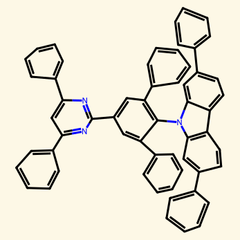 c1ccc(-c2ccc3c4ccc(-c5ccccc5)cc4n(-c4c(-c5ccccc5)cc(-c5nc(-c6ccccc6)cc(-c6ccccc6)n5)cc4-c4ccccc4)c3c2)cc1